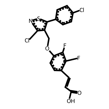 O=C(O)C=Cc1ccc(OCc2c(Cl)nsc2-c2ccc(Cl)cc2)c(F)c1F